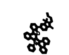 C=C/C=C\C1=C(C)c2ccc(-c3cccc4c3oc3c4c4ccccc4c4c3c3c5ccccc5c5ccccc5c3n4-c3ccccc3)cc2C1(C)C